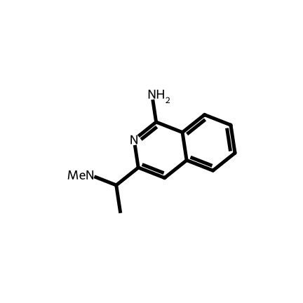 CNC(C)c1cc2ccccc2c(N)n1